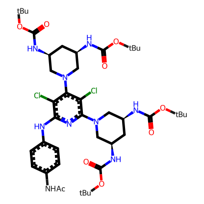 CC(=O)Nc1ccc(Nc2nc(N3C[C@H](NC(=O)OC(C)(C)C)C[C@H](NC(=O)OC(C)(C)C)C3)c(Cl)c(N3C[C@H](NC(=O)OC(C)(C)C)C[C@H](NC(=O)OC(C)(C)C)C3)c2Cl)cc1